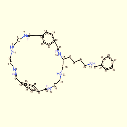 C1=N/CCNCC/N=C/c2ccc(cc2)/C=N/C(CCCCNCc2ccccc2)CNCC/N=C/c2ccc/1cc2